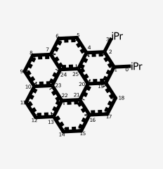 CC(C)c1c(C(C)C)c2ccc3ccc4ccc5ccc6ccc1c1c6c5c4c3c21